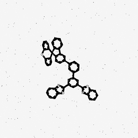 c1cc(-c2cc(-c3nc4ccccc4o3)cc(-c3nc4ccccc4o3)c2)cc(-c2ccc3c(c2)-c2ccccc2C32c3ccccc3Oc3ccccc32)c1